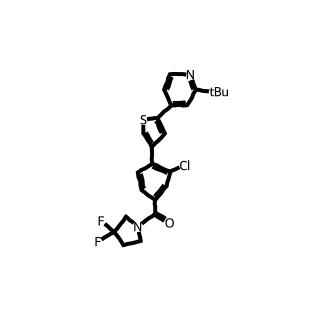 CC(C)(C)c1cc(-c2cc(-c3ccc(C(=O)N4CCC(F)(F)C4)cc3Cl)cs2)ccn1